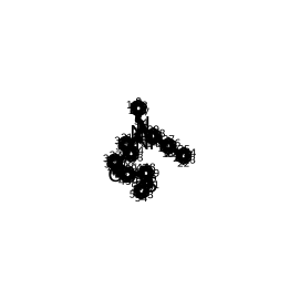 N/C(=N\C(=N/Cc1ccccc1)c1ccc(-c2ccc(-c3ccccc3)cc2)cc1)c1cccc2c(-c3cccc4oc5ccc(-c6cccc7sc8ccccc8c67)cc5c34)cccc12